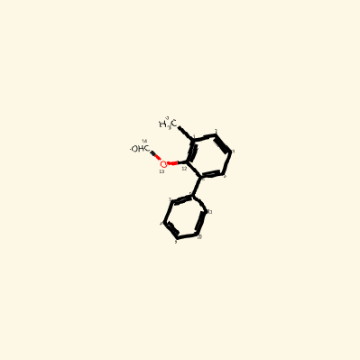 Cc1cccc(-c2ccccc2)c1O[C]=O